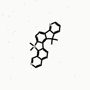 CC1(C)c2cccnc2-c2ccc3c(c21)-c1ccc2ccncc2c1[Si]3(C)C